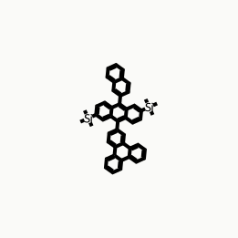 C[Si](C)(C)c1ccc2c(-c3ccc4c5ccccc5c5ccccc5c4c3)c3cc([Si](C)(C)C)ccc3c(-c3ccc4ccccc4c3)c2c1